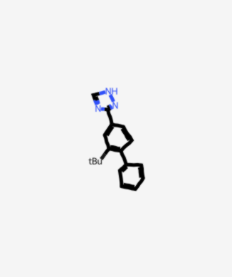 CC(C)(C)c1cc(-c2nc[nH]n2)ccc1-c1ccccc1